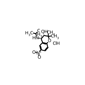 CC(C)N[C@@H]1c2cc([N+](=O)[O-])ccc2OC(C)(C)[C@H]1O.Cl